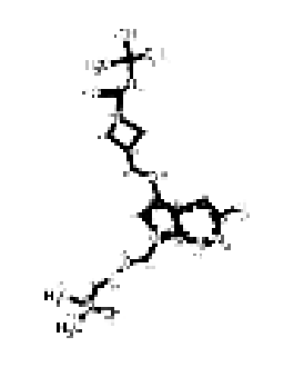 CC(C)(C)OC(=O)N1CC(COc2cn(COCC[Si](C)(C)C)c3nnc(Cl)cc23)C1